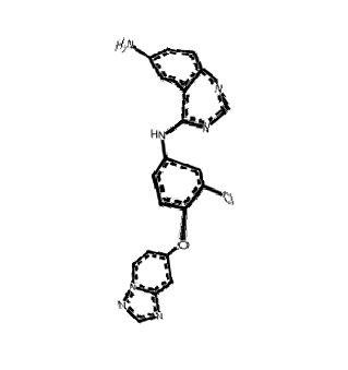 Nc1ccc2ncnc(Nc3ccc(Oc4ccn5ncnc5c4)c(Cl)c3)c2c1